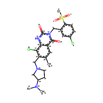 CCS(=O)(=O)c1ccc(Cl)cc1Cn1c(=O)[nH]c2c(Cl)c(CN3CCC(N(C)C(C)=O)C3)c(C(F)(F)F)cc2c1=O